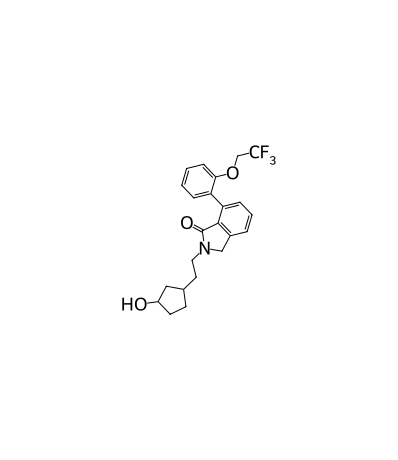 O=C1c2c(cccc2-c2ccccc2OCC(F)(F)F)CN1CCC1CCC(O)C1